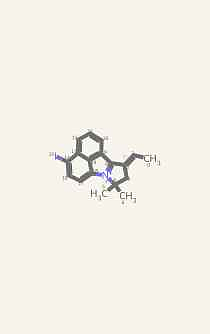 C/C=C1\CC(C)(C)[N+]2=C1c1cccc3c(I)ccc2c13